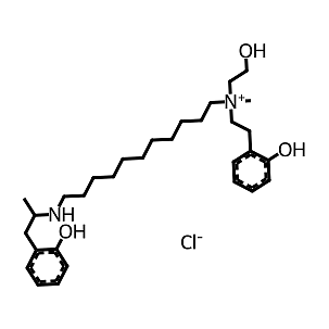 CC(Cc1ccccc1O)NCCCCCCCCCCC[N+](C)(CCO)CCc1ccccc1O.[Cl-]